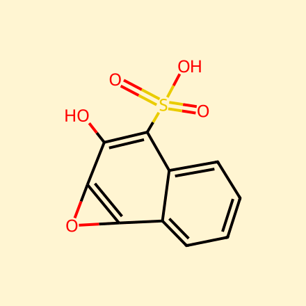 O=S(=O)(O)c1c(O)c2c(c3ccccc13)O2